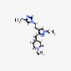 Cc1cn(CCc2cn(C)nc2CC2CCN(C)CC2)cn1